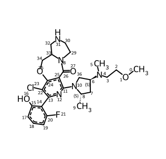 COCCN(C)[C@H]1C[C@H](C)N(c2nc(-c3c(O)cccc3F)c(Cl)c3c2C(=O)N2CCNCC2CO3)C1